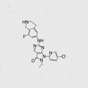 CCn1c(=O)c2cnc(Nc3cc(F)c4c(c3)CCNC4)nc2n1-c1ccc(Cl)cn1